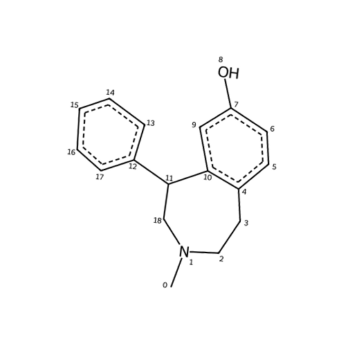 CN1CCc2ccc(O)cc2C(c2ccccc2)C1